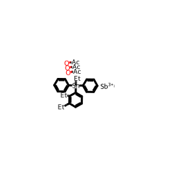 CC(=O)[O-].CC(=O)[O-].CC(=O)[O-].CCc1ccc[c]([Sn]([CH2]C)([c]2ccccc2)[c]2ccccc2)c1CC.[Sb+3]